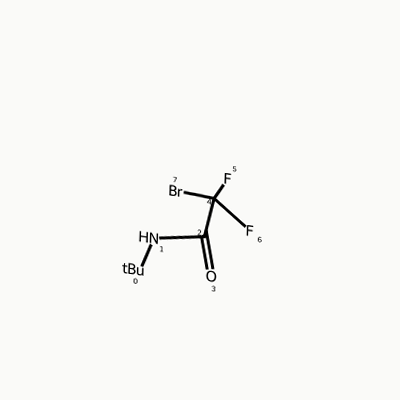 CC(C)(C)NC(=O)C(F)(F)Br